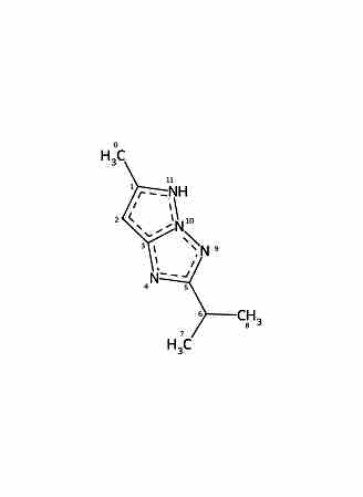 Cc1cc2nc(C(C)C)nn2[nH]1